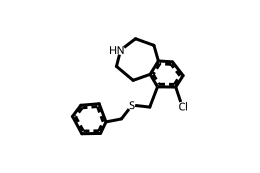 Clc1ccc2c(c1CSCc1ccccc1)CCNCC2